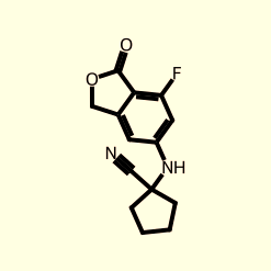 N#CC1(Nc2cc(F)c3c(c2)COC3=O)CCCC1